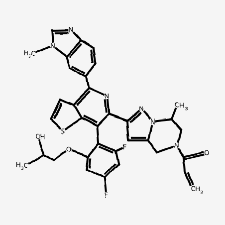 C=CC(=O)N1Cc2cc(-c3nc(-c4ccc5ncn(C)c5c4)c4ccsc4c3-c3c(F)cc(F)cc3OCC(C)O)nn2C(C)C1